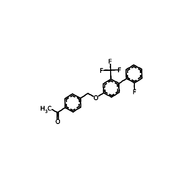 CC(=O)c1ccc(COc2ccc(-c3ccccc3F)c(C(F)(F)F)c2)cc1